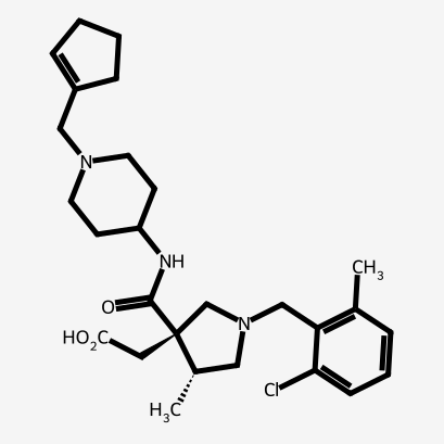 Cc1cccc(Cl)c1CN1C[C@H](C)[C@](CC(=O)O)(C(=O)NC2CCN(CC3=CCCC3)CC2)C1